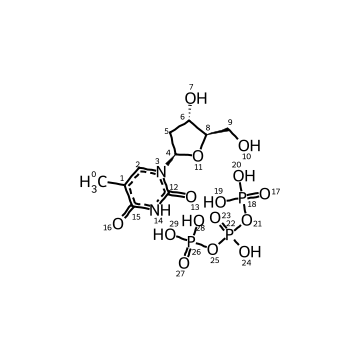 Cc1cn([C@H]2C[C@H](O)[C@@H](CO)O2)c(=O)[nH]c1=O.O=P(O)(O)OP(=O)(O)OP(=O)(O)O